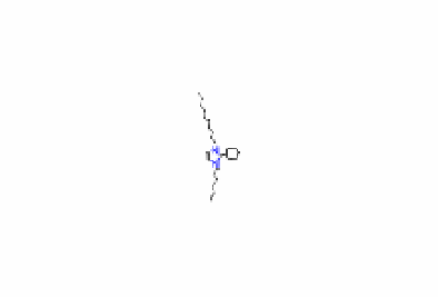 CCCCCCCCCCN1C=CN(CCCCCCC)C1c1ccccc1